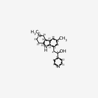 Cc1cc(CC(O)c2ccncc2)c2[nH]c3c(c2c1)CN(C)CC3